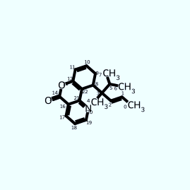 CC=CC(C)(C(C)C)C1CC=Cc2oc(=O)c3cccnc3c21